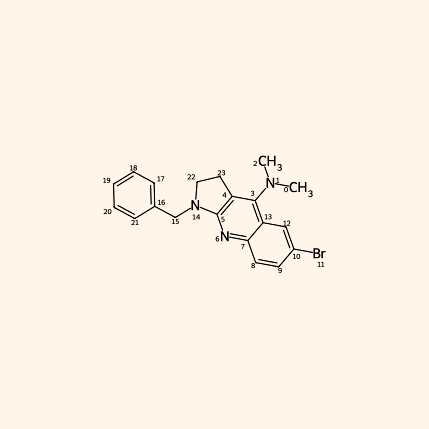 CN(C)c1c2c(nc3ccc(Br)cc13)N(Cc1ccccc1)CC2